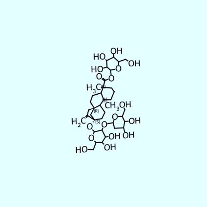 C=C1C[C@@]23CCC4[C@@](C)(CCC[C@@]4(C)C(=O)OC4OC(CO)C(O)C(O)C4O)C2CC[C@]1(OC1OC(CO)C(O)C(O)C1OC1CC(O)C(O)C(CO)O1)C3